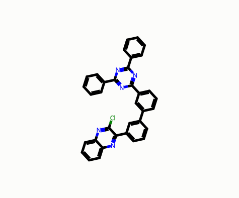 Clc1nc2ccccc2nc1-c1cccc(-c2cccc(-c3nc(-c4ccccc4)nc(-c4ccccc4)n3)c2)c1